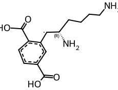 NCCCC[C@H](N)[CH]c1cc(C(=O)O)ccc1C(=O)O